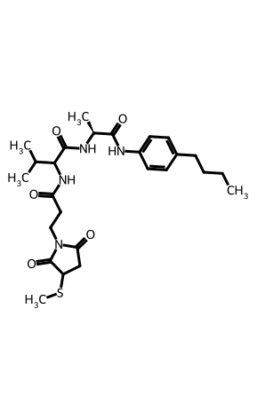 CCCCc1ccc(NC(=O)[C@H](C)NC(=O)C(NC(=O)CCN2C(=O)CC(SC)C2=O)C(C)C)cc1